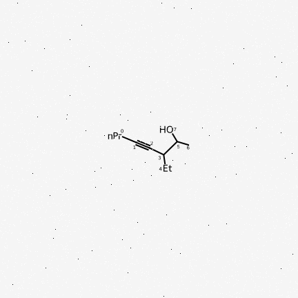 [CH2]CCC#CC(CC)C(C)O